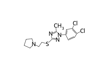 Cc1nc(SCCN2CCCC2)nn1-c1ccc(Cl)c(Cl)c1